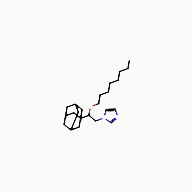 CCCCCCCCOC(Cn1ccnc1)C12CC3CC(CC(C3)C1)C2